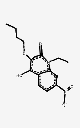 CCCCOc1c(O)c2ccc([N+](=O)[O-])cc2n(CC)c1=O